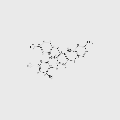 Cc1ccc(Cc2nc(Cc3ccc(C)cc3S)nc(Cc3ccc(C)cc3S)n2)c(S)c1